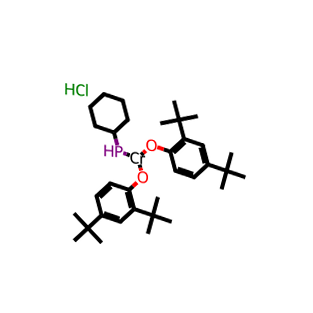 CC(C)(C)c1ccc([O][Cr]([O]c2ccc(C(C)(C)C)cc2C(C)(C)C)[PH]C2CCCCC2)c(C(C)(C)C)c1.Cl